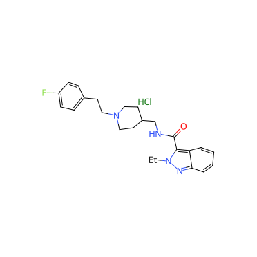 CCn1nc2ccccc2c1C(=O)NCC1CCN(CCc2ccc(F)cc2)CC1.Cl